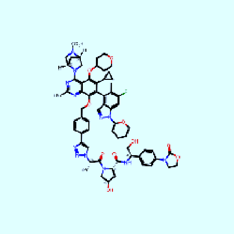 Cc1c(F)cc2c(cnn2C2CCCCO2)c1-c1c(C2CC2)c(OC2CCOCC2)c2c(N3C[C@@H]4C[C@H]3CN4C(=O)O)nc(C(C)(C)C)nc2c1OCc1ccc(-c2cn([C@H](C(=O)N3C[C@H](O)C[C@H]3C(=O)N[C@@H](CO)c3ccc(N4CCOC4=O)cc3)C(C)C)nn2)cc1